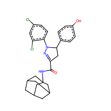 O=C(NC12CC3CC(CC(C3)C1)C2)C1=NN(c2ccc(Cl)cc2Cl)C(c2ccc(O)cc2)C1